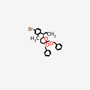 C=C[C@H](c1ccc(Br)cc1C)C1CCCC(COCc2ccccc2)(OCc2ccccc2)O1